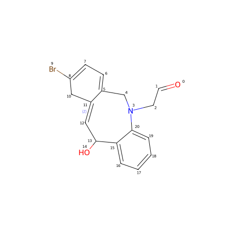 O=CCN1CC2=CC=C(Br)C/C2=C/C(O)c2ccccc21